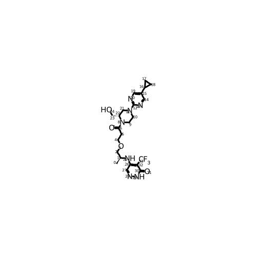 C[C@@H](COCCC(=O)N1CCN(c2ncc(C3CC3)cn2)C[C@H]1CO)Nc1cn[nH]c(=O)c1C(F)(F)F